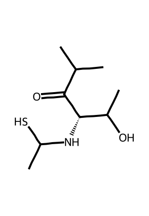 CC(S)N[C@H](C(=O)C(C)C)C(C)O